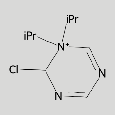 CC(C)[N+]1(C(C)C)C=NC=NC1Cl